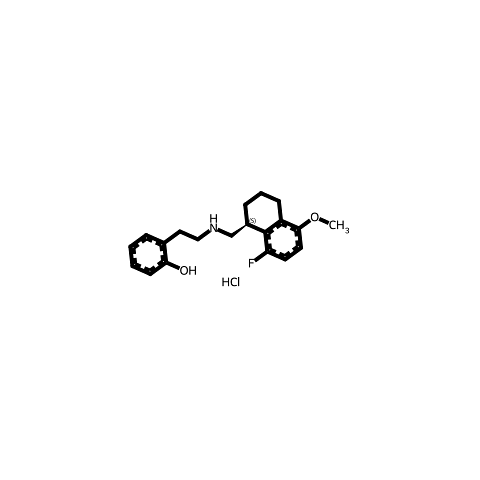 COc1ccc(F)c2c1CCC[C@@H]2CNCCc1ccccc1O.Cl